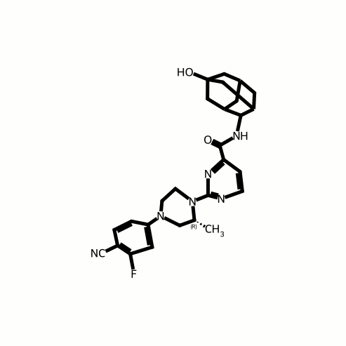 C[C@@H]1CN(c2ccc(C#N)c(F)c2)CCN1c1nccc(C(=O)NC2C3CC4CC2CC(O)(C4)C3)n1